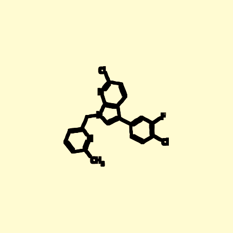 Cc1cccc(Cn2cc(-c3ccc(Cl)c(F)c3)c3ccc(Cl)nc32)n1